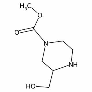 COC(=O)N1CCNC(CO)C1